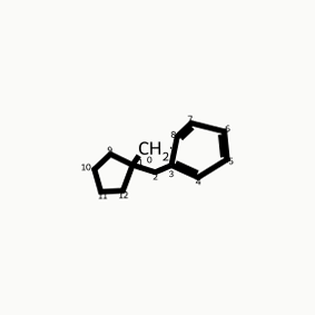 [CH2]C1(Cc2ccccc2)CCCC1